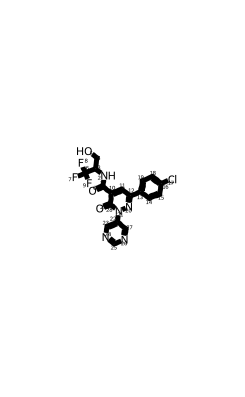 O=C(NC(CO)C(F)(F)F)c1cc(-c2ccc(Cl)cc2)nn(-c2cncnc2)c1=O